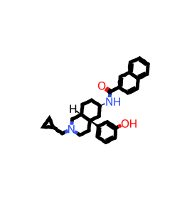 O=C(N[C@H]1CC[C@@H]2CN(CC3CC3)CC[C@@]2(c2cccc(O)c2)C1)c1ccc2ccccc2c1